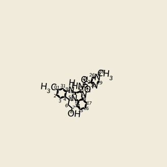 Cc1ccc(CCCO)c(Nc2nc3ccccc3nc2NS(=O)(=O)c2cn(C)cn2)c1